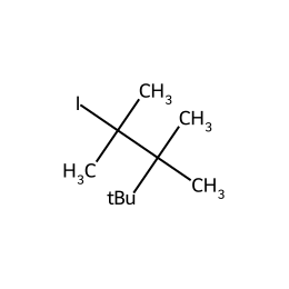 CC(C)(C)C(C)(C)C(C)(C)I